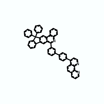 c1ccc(C2(c3ccccc3)c3ccccc3-c3cc4c(-c5cccc(-c6ccc(-c7ccnc8c7ccc7cccnc78)cc6)c5)nc5ccccc5c4cc32)cc1